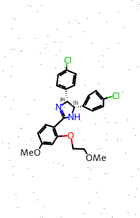 COCCOc1cc(OC)ccc1C1=N[C@H](c2ccc(Cl)cc2)[C@H](c2ccc(Cl)cc2)N1